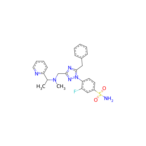 CC(c1ccccn1)N(C)Cc1nc(Cc2ccccc2)n(-c2ccc(S(N)(=O)=O)cc2F)n1